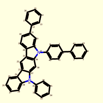 c1ccc(-c2ccc(-n3c4cc(-c5ccccc5)ccc4c4cc5c6ccccc6n(-c6ccccc6)c5cc43)cc2)cc1